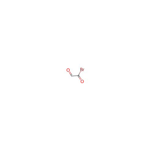 O=CC(=O)Br